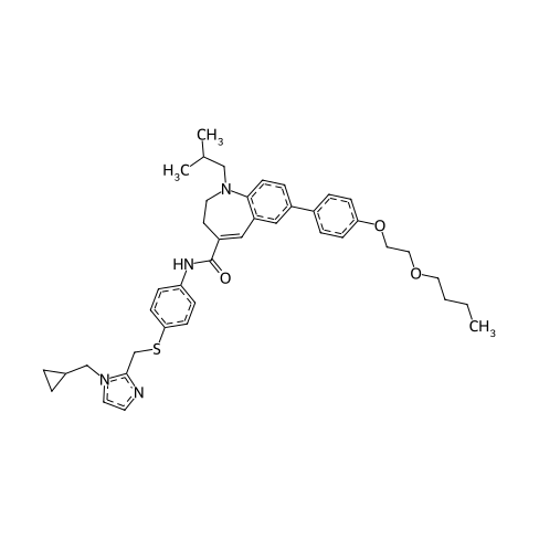 CCCCOCCOc1ccc(-c2ccc3c(c2)C=C(C(=O)Nc2ccc(SCc4nccn4CC4CC4)cc2)CCN3CC(C)C)cc1